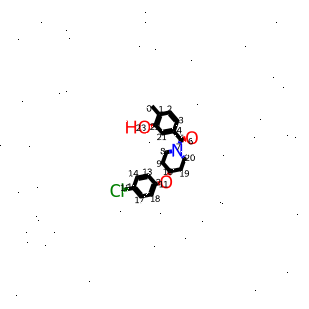 Cc1ccc(C(=O)N2CCC(Oc3ccc(Cl)cc3)CC2)cc1O